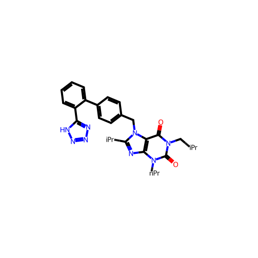 CCCn1c(=O)n(CC(C)C)c(=O)c2c1nc(C(C)C)n2Cc1ccc(-c2ccccc2-c2nnn[nH]2)cc1